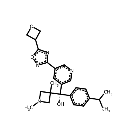 CC(C)c1ccc([C@](O)(c2cncc(-c3noc(C4COC4)n3)c2)C2(C)CN(C)C2)cc1